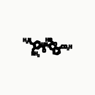 NCc1ccc(C(=O)N[C@H]2Cc3cccc(C(=O)O)c3OB2O)cc1CN